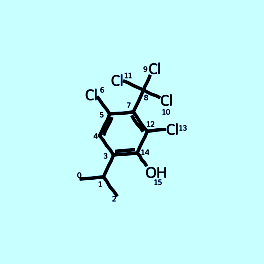 CC(C)c1cc(Cl)c(C(Cl)(Cl)Cl)c(Cl)c1O